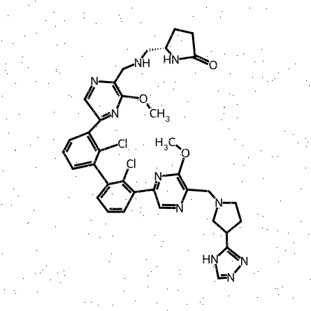 COc1nc(-c2cccc(-c3cccc(-c4cnc(CN5CCC(c6nnc[nH]6)C5)c(OC)n4)c3Cl)c2Cl)cnc1CNC[C@@H]1CCC(=O)N1